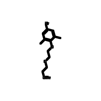 COCCOCCOc1c(C)cc(C(C)C)cc1C